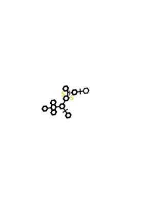 CC(C)(c1ccccc1)c1cc(-c2cc3c4c(c2)Sc2cc(C(C)(C)C5CCCCC5)ccc2B4c2ccccc2S3)cc(-c2c3ccccc3c(-c3ccccc3)c3ccccc23)c1